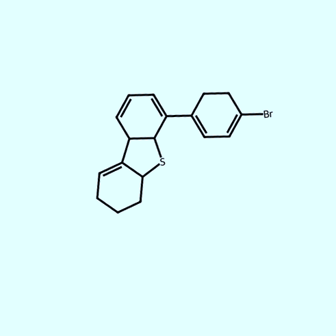 BrC1=CC=C(C2=CC=CC3C4=CCCCC4SC23)CC1